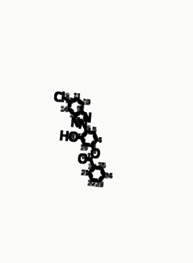 O=C(Oc1ccc(-n2nc3ccc(Cl)cc3n2)c(O)c1)c1ccccc1